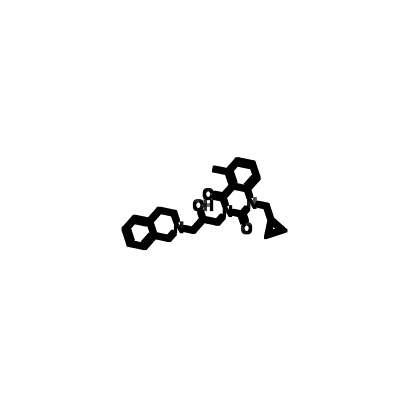 Cc1cccc2c1c(=O)n(CC(O)CN1CCc3ccccc3C1)c(=O)n2CC1CC1